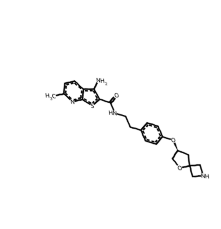 Cc1ccc2c(N)c(C(=O)NCCc3ccc(O[C@@H]4COC5(CNC5)C4)cc3)sc2n1